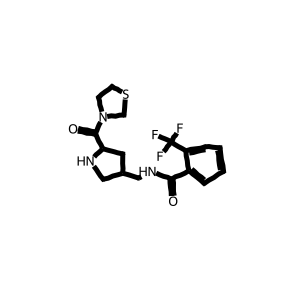 O=C(NCC1CNC(C(=O)N2CCSC2)C1)c1ccccc1C(F)(F)F